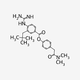 CN(C)C(=O)Cc1ccc(OC(=O)c2ccc(NC(=N)N)c(CC(C)(C)C)c2)cc1